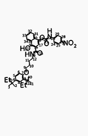 CCC(C)(C)c1ccc(OCCCCNC(=O)c2cc(OC(=O)Nc3ccc([N+](=O)[O-])cc3)c3ccccc3c2O)c(C(C)(C)CC)c1